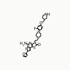 Nc1nc2c(sc(=O)n2CCN2CCN(c3ccc(OCC4CCNCC4)cc3F)CC2)c2cc(-c3ccco3)nn12